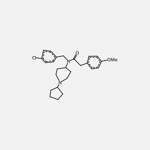 COc1ccc(CC(=O)N(Cc2ccc(Cl)cc2)C2CCN(C3CCCC3)CC2)cc1